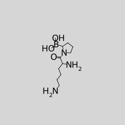 NCCCCC(N)C(=O)N1CCCC1B(O)O